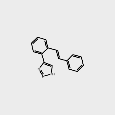 C(=Cc1ccccc1-c1c[nH]nn1)c1ccccc1